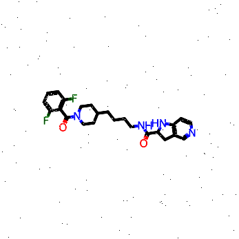 O=C(NCCCCC1CCN(C(=O)c2c(F)cccc2F)CC1)C1Cc2cnccc2N1